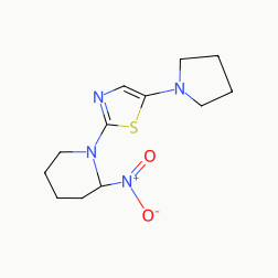 O=[N+]([O-])C1CCCCN1c1ncc(N2CCCC2)s1